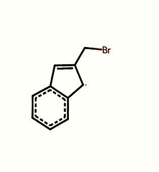 BrCC1=Cc2ccccc2[CH]1